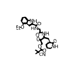 CCOc1cccc2[nH]c(C(=O)NCC(=O)NC(C[C@@H]3CCCNC3=O)C(=O)COC(=O)C(C)(C)C#N)cc12